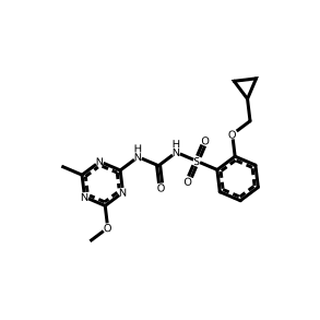 COc1nc(C)nc(NC(=O)NS(=O)(=O)c2ccccc2OCC2CC2)n1